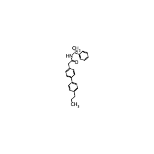 CCCc1ccc(-c2ccc(CC(=O)N[C@H](C)c3ccccc3)cc2)cc1